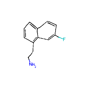 NCCc1cccc2ccc(F)cc12